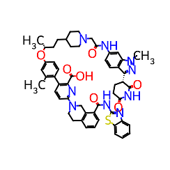 Cc1cc(O[C@H](C)CCC2CCN(CC(=O)Nc3ccc4c([C@H]5CCC(=O)NC5=O)nn(C)c4c3)CC2)ccc1-c1ccc(N2CCc3cccc(C(=O)Nc4nc5ccccc5s4)c3C2)nc1C(=O)O